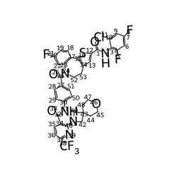 O=C(Nc1c(F)cc(F)cc1Cl)c1cc2c(s1)-c1ccc(F)cc1N(C(=O)c1ccc(NC(=O)c3ccc(C(F)(F)F)nc3N3CC4(CCOCC4)C3)cc1)CC2